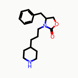 O=C1OCC(Cc2ccccc2)N1CCCC1CCNCC1